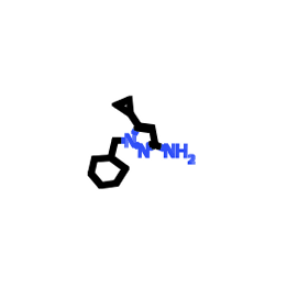 Nc1cc(C2CC2)n(CC2CCCCC2)n1